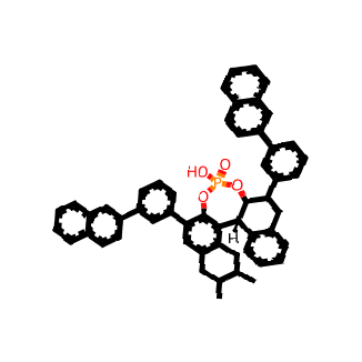 CC1Cc2cc(-c3cccc(-c4ccc5ccccc5c4)c3)c3c(c2CC1C)[C@H]1c2ccccc2CC(c2cccc(-c4ccc5ccccc5c4)c2)C1OP(=O)(O)O3